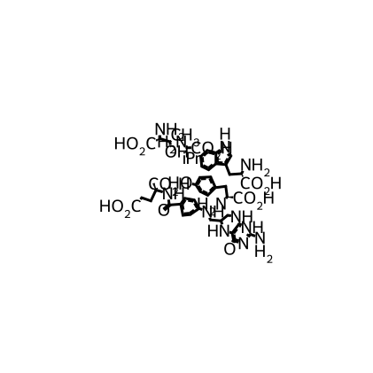 CC(C)[C@H](N)C(=O)O.C[C@@H](O)[C@H](N)C(=O)O.N[C@@H](Cc1c[nH]c2ccccc12)C(=O)O.N[C@@H](Cc1ccc(O)cc1)C(=O)O.Nc1nc(=O)c2c([nH]1)NCC(CNc1ccc(C(=O)N[C@@H](CCC(=O)O)C(=O)O)cc1)N2